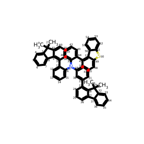 CC1(C)c2ccccc2-c2c(-c3ccccc3N(c3cccc(-c4cccc5c4C(C)(C)c4ccccc4-5)c3)c3ccccc3-c3cccc4sc5ccccc5c34)cccc21